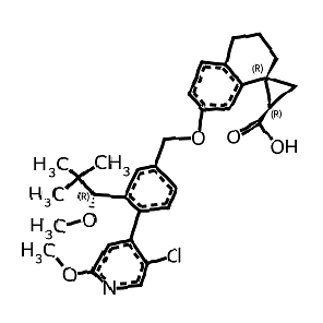 COc1cc(-c2ccc(COc3ccc4c(c3)[C@]3(CCC4)C[C@H]3C(=O)O)cc2[C@H](OC)C(C)(C)C)c(Cl)cn1